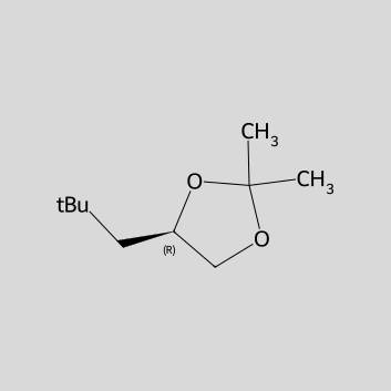 CC(C)(C)C[C@@H]1COC(C)(C)O1